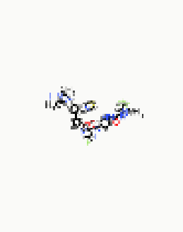 C[C@@H]1CN(Cc2ccc(-c3cccc(Oc4ncc(F)cc4C(=O)NC4CCC(NC(=O)c5cc(C(F)(F)F)n(C)n5)CC4)c3)c(CN3CCSCC3)c2)C[C@H](C)N1